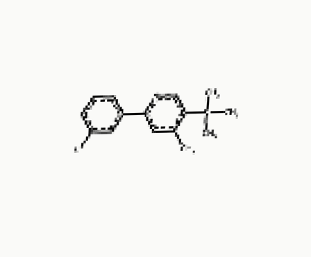 Cc1cc(-c2cccc(Br)c2)ncc1[Si](C)(C)C